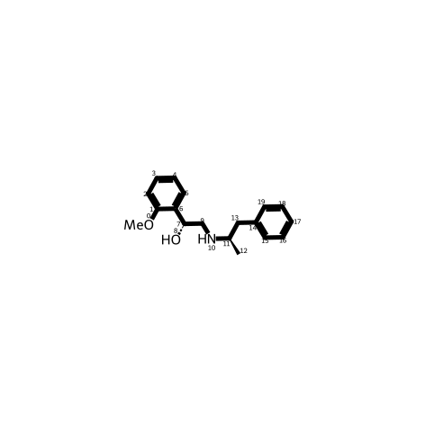 COc1ccccc1[C@@H](O)CN[C@H](C)Cc1ccccc1